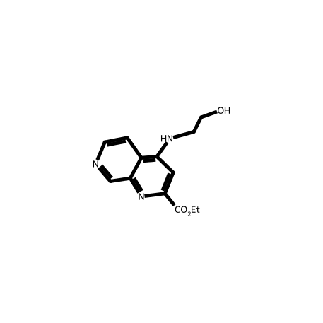 CCOC(=O)c1cc(NCCO)c2ccncc2n1